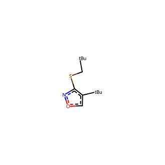 CC(C)(C)CSc1nocc1C(C)(C)C